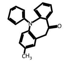 Cc1ccc2c(c1)CC(=O)c1ccccc1N2c1ccccc1